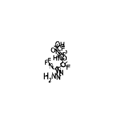 Cc1c(F)cc(-c2cc(CN3CC(F)(F)C3)c3c(N)ncnn23)cc1C(=O)N[C@@H]1CN(C(=O)C(C)(O)C(F)(F)F)C[C@@H]1F